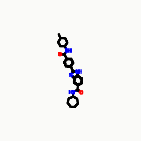 CC1CCC(NC(=O)c2ccc(-c3nc4cc(C(=O)NC5CCCCCC5)ccc4[nH]3)cc2)CC1